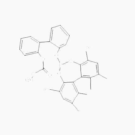 Cc1cc(C(C)C)c2op(Oc3ccccc3-c3ccccc3OC(=O)OC(C)(C)C)oc3c(C(C)C)cc(C)c(C)c3c2c1C